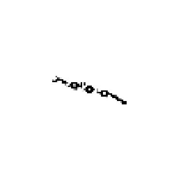 CCCCCCC[C@H]1CC[C@H](COc2ccc(OC(=O)c3ccc(OCCC[C@@H](C)CC)cc3)cc2)CC1